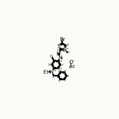 CC(=O)[O-].CCN(Cc1ccccc1)c1ccc(/N=N/c2sc(Br)c[n+]2C)c(C)c1